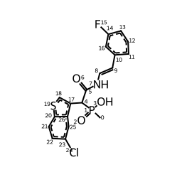 CP(=O)(O)C(C(=O)N/C=C/c1cccc(F)c1)c1csc2ccc(Cl)cc12